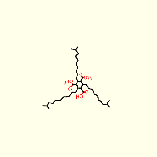 CC(C)CCCCCCCCc1c(C(=O)O)c(CCCCCCCCC(C)C)c(C(=O)O)c(CCCCCCCCC(C)C)c1C(=O)O